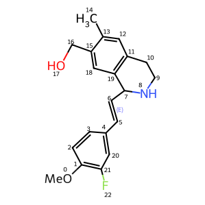 COc1ccc(/C=C/C2NCCc3cc(C)c(CO)cc32)cc1F